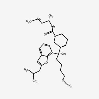 CNC[C@H](C)NC(=O)N1CCC[C@@H]([C@@](O)(CCCCOC)c2cccc3cc(CC(C)C)oc23)C1